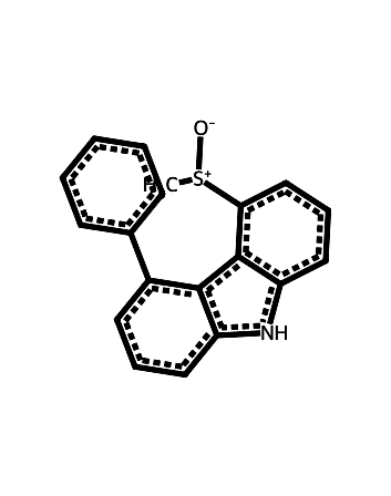 C[S+]([O-])c1cccc2[nH]c3cccc(-c4ccccc4)c3c12